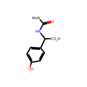 CNC(=O)NC(C(=O)O)c1ccc(O)cc1